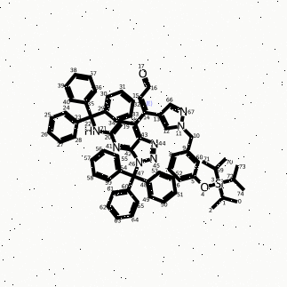 CC(C)[Si](Oc1cccc(Cn2cc(/C(=C\C=O)c3cc(NC(c4ccccc4)(c4ccccc4)c4ccccc4)nc4c3nnn4C(c3ccccc3)(c3ccccc3)c3ccccc3)cn2)c1)(C(C)C)C(C)C